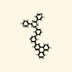 c1cc(-c2cccc(-c3nc(-c4ccncc4)nc(-c4cccnc4)n3)c2)cc(-c2ccc3c4ccccc4c4ccccc4c3c2)c1